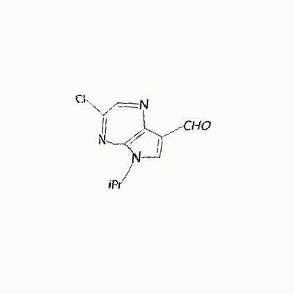 CC(C)n1cc(C=O)c2ncc(Cl)nc21